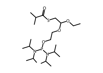 CCOC(CSC(=O)C(C)C)OCCOP(N(C(C)C)C(C)C)N(C(C)C)C(C)C